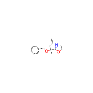 C=CCC(C)(OCc1ccccc1)C1=NCCO1